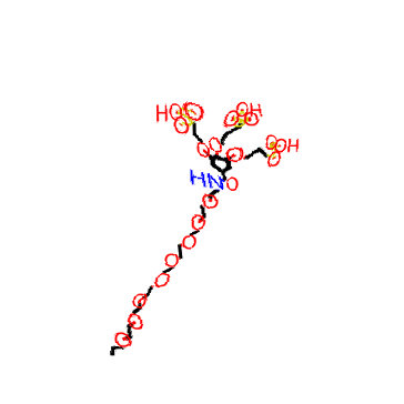 CCCOCCOCCOCCOCCOCCOCCOCCOCCNC(=O)c1cc(OCCCS(=O)(=O)O)c(OCCCS(=O)(=O)O)c(OCCCS(=O)(=O)O)c1